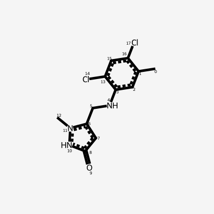 Cc1cc(NCc2cc(=O)[nH]n2C)c(Cl)cc1Cl